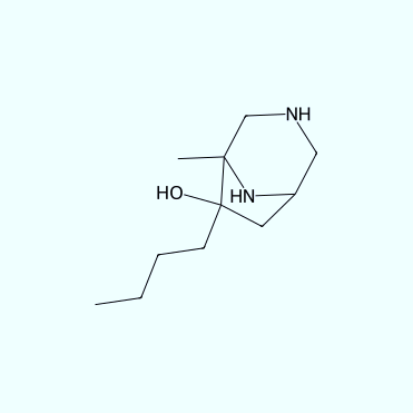 CCCCC1(O)CC2CNCC1(C)N2